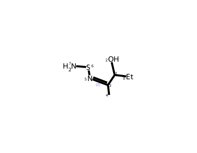 CCC(O)/C(C)=N\SN